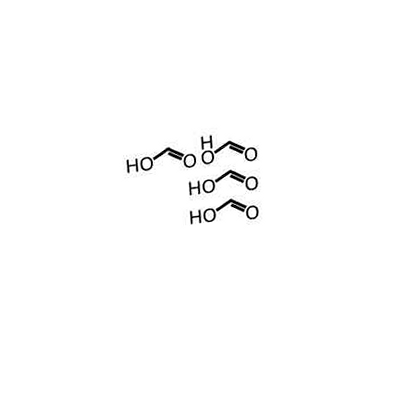 O=CO.O=CO.O=CO.O=CO